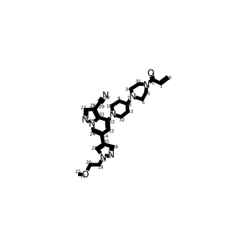 C=CC(=O)N1CCN(C2CCN(c3cc(-c4cnn(CCOC)c4)cn4ncc(C#N)c34)CC2)CC1